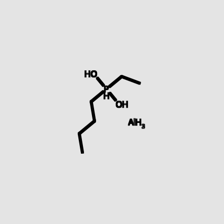 CCCC[PH](O)(O)CC.[AlH3]